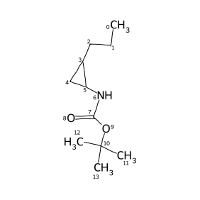 CCCC1CC1NC(=O)OC(C)(C)C